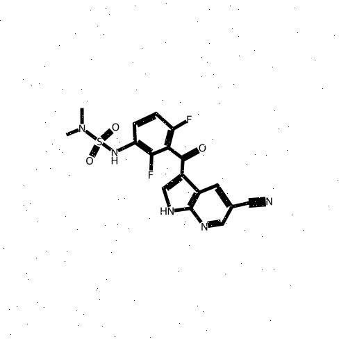 CN(C)S(=O)(=O)Nc1ccc(F)c(C(=O)c2c[nH]c3ncc(C#N)cc23)c1F